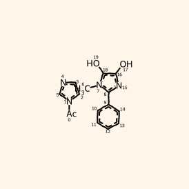 CC(=O)n1ccnc1.Cn1c(-c2ccccc2)nc(O)c1O